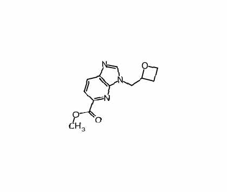 COC(=O)c1ccc2ncn(CC3CCO3)c2n1